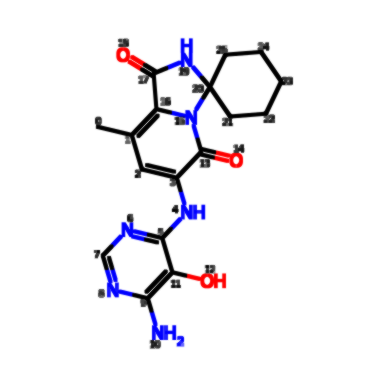 Cc1cc(Nc2ncnc(N)c2O)c(=O)n2c1C(=O)NC21CCCCC1